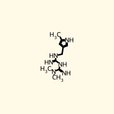 Cc1cc(CNC(=N)NC(=N)N(C)C)c[nH]1